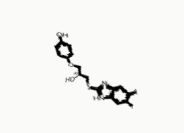 Oc1ccc(OC[C@@H](O)CSc2nc3cc(I)c(I)cc3[nH]2)cc1